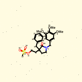 COc1cc(CN2CCC(CCOS(C)(=O)=O)(Cc3ccccc3)C2=O)cc(OC)c1OC